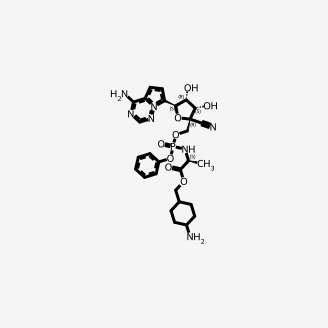 C[C@H](NP(=O)(OC[C@@]1(C#N)O[C@@H](c2ccc3c(N)ncnn23)[C@H](O)[C@@H]1O)Oc1ccccc1)C(=O)OCC1CCC(N)CC1